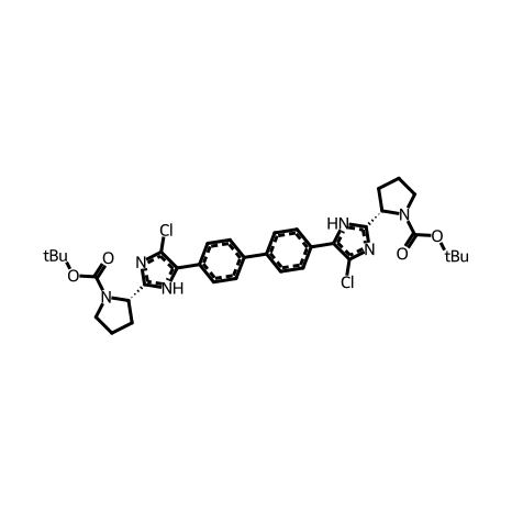 CC(C)(C)OC(=O)N1CCC[C@H]1c1nc(Cl)c(-c2ccc(-c3ccc(-c4[nH]c([C@@H]5CCCN5C(=O)OC(C)(C)C)nc4Cl)cc3)cc2)[nH]1